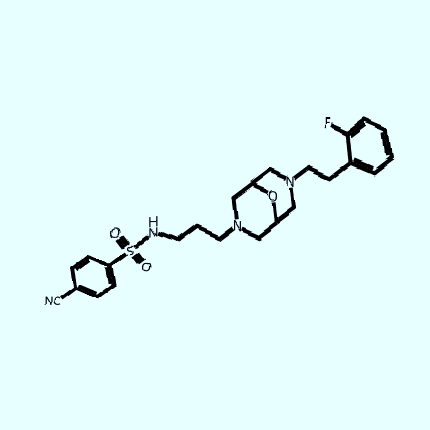 N#Cc1ccc(S(=O)(=O)NCCCN2CC3CN(CCc4ccccc4F)CC(C2)O3)cc1